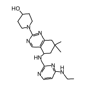 CCNc1ccnc(NC2CC(C)(C)Cc3nc(N4CCC(O)CC4)ncc32)n1